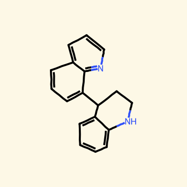 c1ccc2c(c1)NCCC2c1cccc2cccnc12